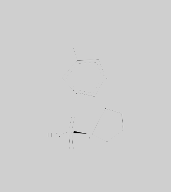 NS(=O)(=O)[C@@H]1CCC[C@H]1c1ncc(F)cn1